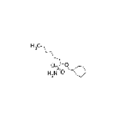 CCCCCCC(OCC1CCCCC1)S(N)(=O)=O